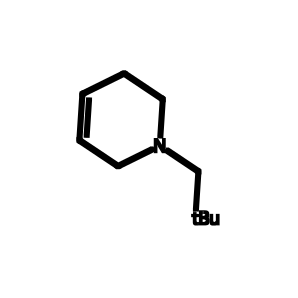 CC(C)(C)CN1CC=CCC1